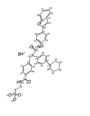 O=C(NCCS(=O)(=O)[O-])c1ccc(CC(C(=O)Nc2ccc(-c3cc4ccccc4o3)cc2)c2ccc(C3=CCCCC3)cc2)cc1.[Na+]